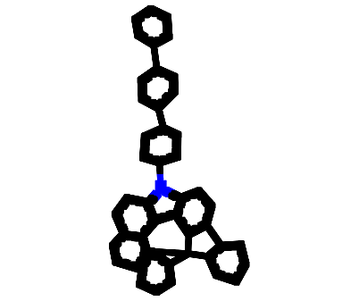 c1ccc(-c2ccc(-c3ccc(-n4c5ccc6c7c5c5c8c(cccc8ccc54)C7(c4ccccc4)c4ccccc4-6)cc3)cc2)cc1